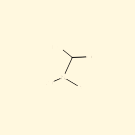 CCCCN(C(C)=O)C(O)CC